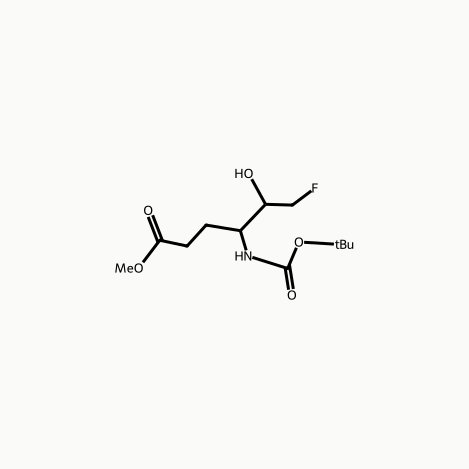 COC(=O)CCC(NC(=O)OC(C)(C)C)C(O)CF